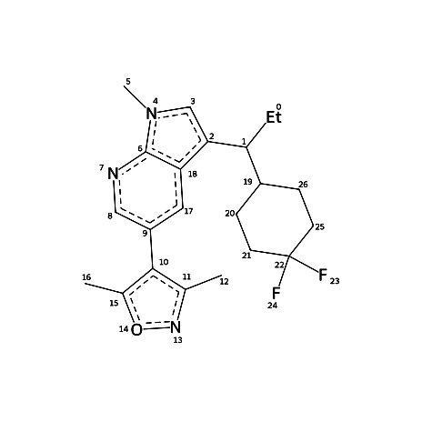 CCC(c1cn(C)c2ncc(-c3c(C)noc3C)cc12)C1CCC(F)(F)CC1